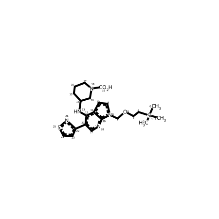 C[Si](C)(C)CCOCn1ccc2c(NC3CCCN(C(=O)O)C3)c(-c3ccsn3)cnc21